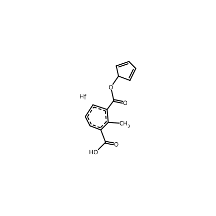 Cc1c(C(=O)O)cccc1C(=O)OC1C=CC=C1.[Hf]